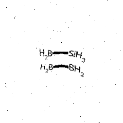 BB.B[SiH3]